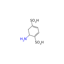 NC1CC(S(=O)(=O)O)=CC=C1S(=O)(=O)O